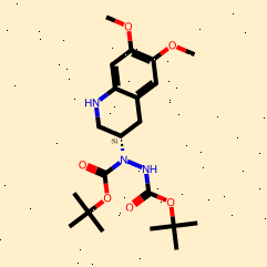 COc1cc2c(cc1OC)NC[C@@H](N(NC(=O)OC(C)(C)C)C(=O)OC(C)(C)C)C2